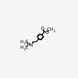 COC(=O)c1ccc(C/C=N/N(C)C)cc1